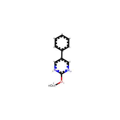 CCCCCCCCOc1ncc(-c2cc[c]cc2)cn1